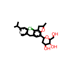 CC1Cc2c(Cl)c(Cc3ccc(C(C)C)cc3)cc(C3CC(O)[C@H](O)C(CO)O3)c2O1